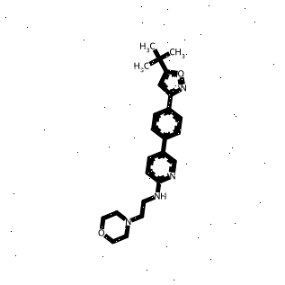 CC(C)(C)c1cc(-c2c[c]c(-c3ccc(NCCN4CCOCC4)nc3)cc2)no1